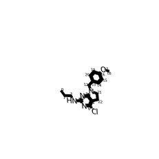 CCCNc1nc(Cl)c2c(n1)N(Cc1ccc(OC)cc1)CC2